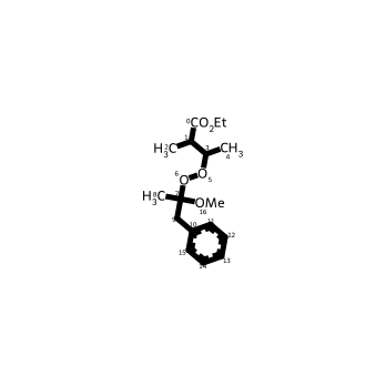 CCOC(=O)C(C)C(C)OOC(C)(Cc1ccccc1)OC